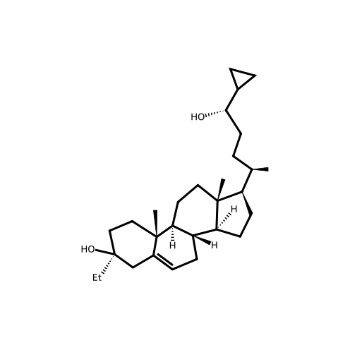 CC[C@]1(O)CC[C@@]2(C)C(=CC[C@H]3[C@@H]4CC[C@H]([C@H](C)CC[C@H](O)C5CC5)[C@@]4(C)CC[C@@H]32)C1